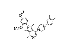 CCOc1ccc(-n2c(C)c3c(C)nnc(N4CCN(c5ccc(C)c(C)c5)CC4)c3c2C)c(OC)c1